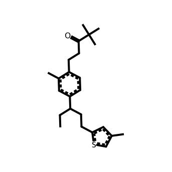 CCC(CCc1cc(C)cs1)c1ccc(CCC(=O)C(C)(C)C)c(C)c1